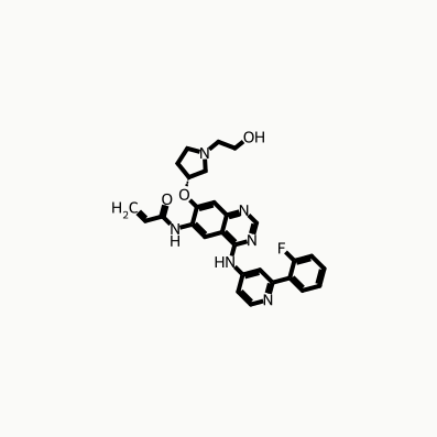 C=CC(=O)Nc1cc2c(Nc3ccnc(-c4ccccc4F)c3)ncnc2cc1O[C@@H]1CCN(CCO)C1